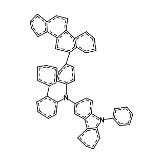 c1ccc(-c2ccccc2N(c2ccc(-c3cc4c5ccccc5ccc4c4ccccc34)cc2)c2ccc3c(c2)c2ccccc2n3-c2ccccc2)cc1